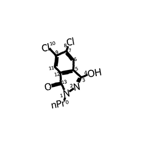 CCCn1nc(O)c2cc(Cl)c(Cl)cc2c1=O